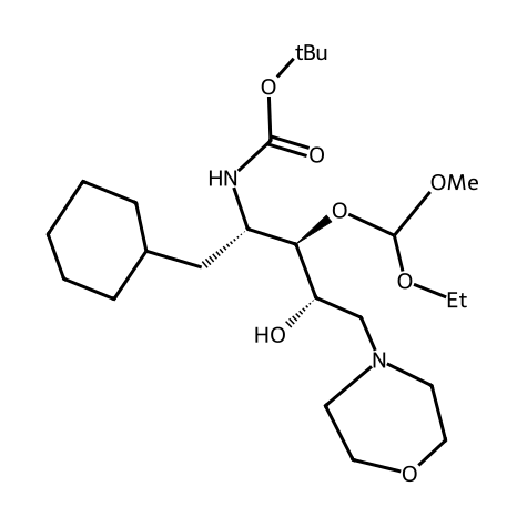 CCOC(OC)O[C@H]([C@H](CC1CCCCC1)NC(=O)OC(C)(C)C)[C@@H](O)CN1CCOCC1